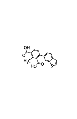 Cc1c(C(=O)O)ccc(-c2ccc3ccsc3c2)c1C(=O)O